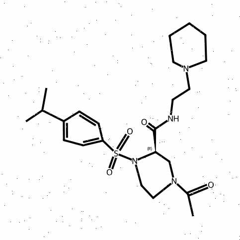 CC(=O)N1CCN(S(=O)(=O)c2ccc(C(C)C)cc2)[C@@H](C(=O)NCCN2CCCCC2)C1